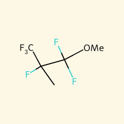 COC(F)(F)C(C)(F)C(F)(F)F